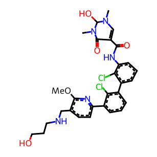 COc1nc(-c2cccc(-c3cccc(NC(=O)C4=CN(C)C(O)N(C)C4=O)c3Cl)c2Cl)ccc1CNCCCO